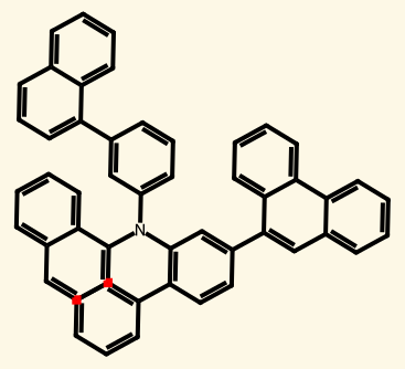 c1ccc(-c2ccc(-c3cc4ccccc4c4ccccc34)cc2N(c2cccc(-c3cccc4ccccc34)c2)c2cccc3ccccc23)cc1